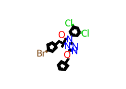 CC1(Cc2ccc(Br)cc2)C(=O)N(c2cc(Cl)cc(Cl)c2)c2nnc(OCc3ccccc3)n21